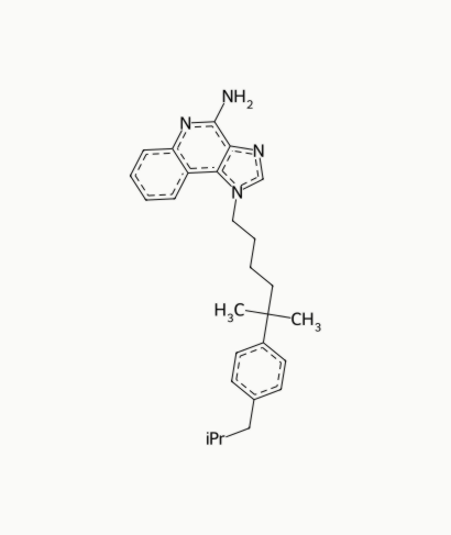 CC(C)Cc1ccc(C(C)(C)CCCCn2cnc3c(N)nc4ccccc4c32)cc1